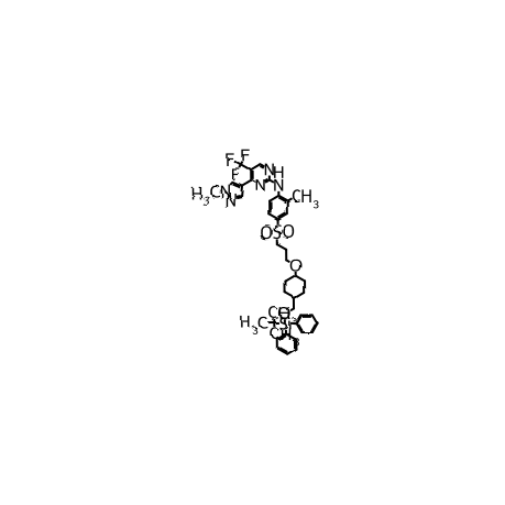 Cc1cc(S(=O)(=O)CCCOC2CCC(CO[Si](c3ccccc3)(c3ccccc3)C(C)(C)C)CC2)ccc1Nc1ncc(C(F)(F)F)c(-c2cnn(C)c2)n1